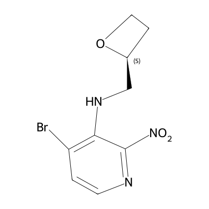 O=[N+]([O-])c1nccc(Br)c1NC[C@@H]1CCO1